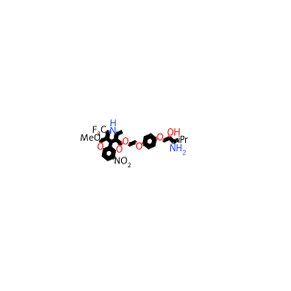 COC(=O)C1=C(C(F)(F)F)NC(C)=C(C(=O)OCCOc2ccc(OCC(O)C(N)C(C)C)cc2)C1c1cccc([N+](=O)[O-])c1